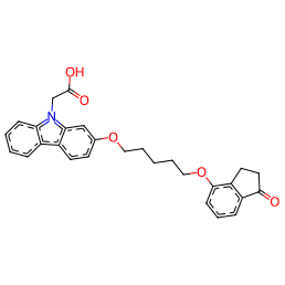 O=C(O)Cn1c2ccccc2c2ccc(OCCCCCOc3cccc4c3CCC4=O)cc21